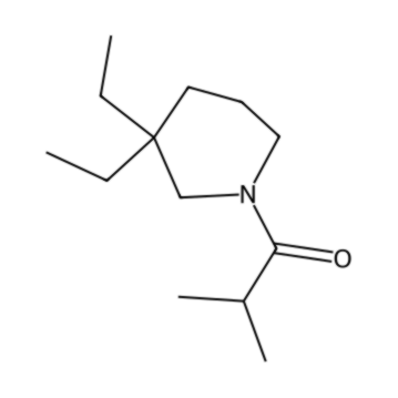 CCC1(CC)CCCN(C(=O)C(C)C)C1